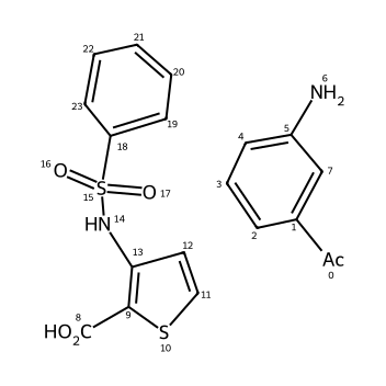 CC(=O)c1cccc(N)c1.O=C(O)c1sccc1NS(=O)(=O)c1ccccc1